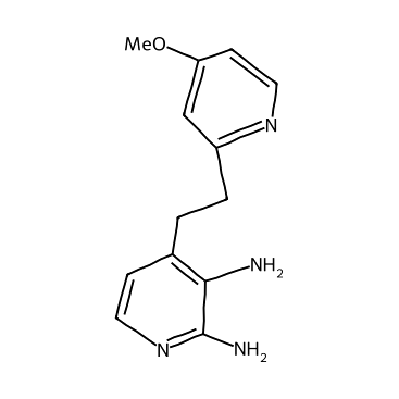 COc1ccnc(CCc2ccnc(N)c2N)c1